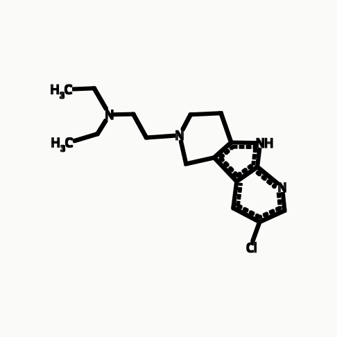 CCN(CC)CCN1CCc2[nH]c3ncc(Cl)cc3c2C1